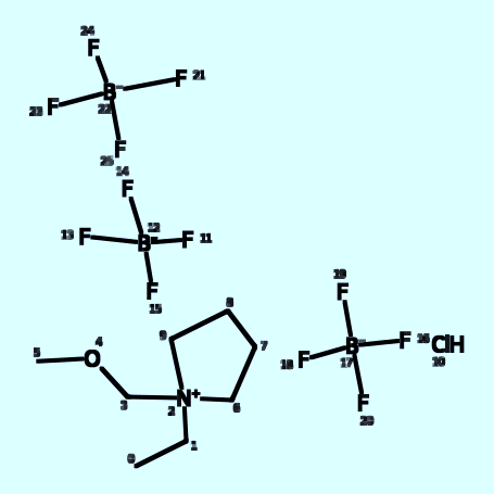 CC[N+]1(COC)CCCC1.Cl.F[B-](F)(F)F.F[B-](F)(F)F.F[B-](F)(F)F